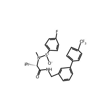 CC(C)[C@@H](C(=O)NCc1cccc(-c2ccc(C(F)(F)F)cc2)c1)N(C)[S+]([O-])c1ccc(F)cc1